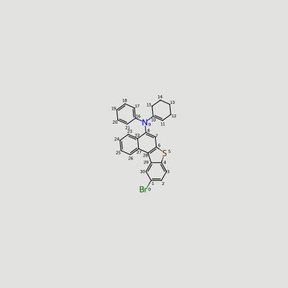 Brc1ccc2sc3cc(N(C4=CCCCC4)c4ccccc4)c4ccccc4c3c2c1